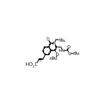 CCCCOc1c(CNC(=O)OC(C)(C)C)n(CC(C)(C)C)c(=O)c2ccc(/C=C/C(=O)O)cc12